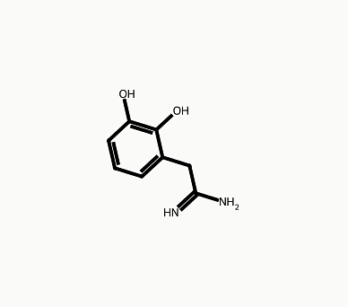 N=C(N)Cc1cccc(O)c1O